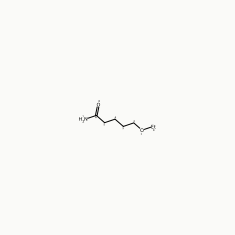 CCOCCCCC(N)=O